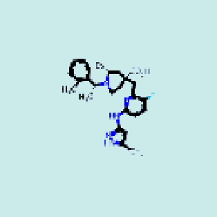 CC[C@@H]1C[C@](Cc2nc(Nc3cc(C)[nH]n3)ccc2F)(C(=O)O)CCN1[C@H](C)c1ccccc1C